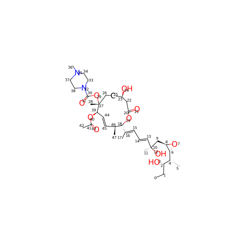 CC[C@H](O)[C@@H](C)[C@H]1O[C@@H]1C[C@@](C)(O)/C=C/C=C(\C)[C@H]1OC(=O)C[C@H](O)CC[C@@](C)(OC(=O)N2CCN(C)CC2)[C@H](OC(C)=O)/C=C/[C@@H]1C